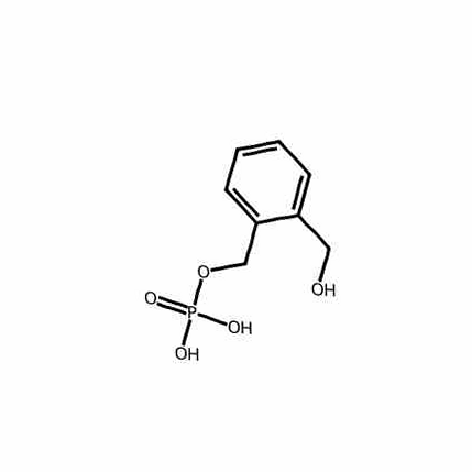 O=P(O)(O)OCc1ccccc1CO